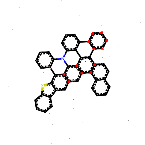 c1ccc(-c2ccccc2-c2c(-c3ccccc3)cccc2N(c2cccc(-c3cccc4ccccc34)c2)c2ccccc2-c2cccc3c2sc2ccccc23)cc1